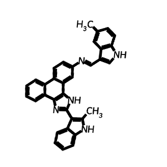 Cc1ccc2[nH]cc(C=Nc3ccc4c5ccccc5c5nc(-c6c(C)[nH]c7ccccc67)[nH]c5c4c3)c2c1